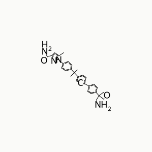 Cc1cc(C(N)=O)nn1-c1ccc(C(C)(C)c2ccc(-c3ccc(C4(CN)COC4)cc3)cc2)cc1